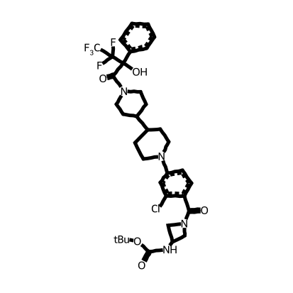 CC(C)(C)OC(=O)NC1CN(C(=O)c2ccc(N3CCC(C4CCN(C(=O)C(O)(c5ccccc5)C(F)(F)C(F)(F)F)CC4)CC3)cc2Cl)C1